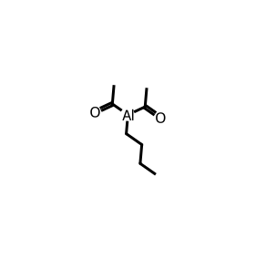 CCC[CH2][Al]([C](C)=O)[C](C)=O